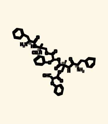 C[C@@](COC(=O)C(OC(=O)[C@](C)(COC(=O)C(C=O)Oc1ccccc1)NC(=O)[C@@H](N)Cc1ccccc1)Oc1ccccc1)(NC(=O)[C@@H](N)Cc1ccccc1)C(=O)O